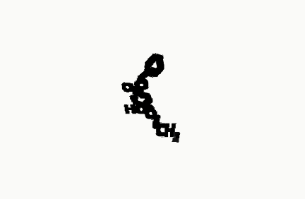 C=CCOCC1(O)CCN(C(=O)OCc2ccccc2)CC1